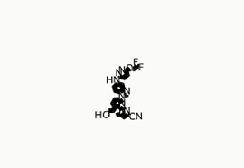 Cc1cc(C#N)nn1-c1nc(-n2cnc3cc(Nc4ccc(OCC(F)F)nn4)ccc32)ccc1CCO